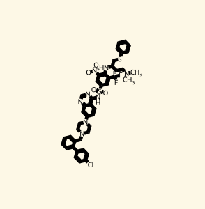 CN(C)CCC(CSc1ccccc1)Nc1c([N+](=O)[O-])cc(S(=O)(=O)Nc2ncnc3cc(N4CCN(Cc5ccccc5-c5ccc(Cl)cc5)CC4)ccc23)cc1C(F)(F)F